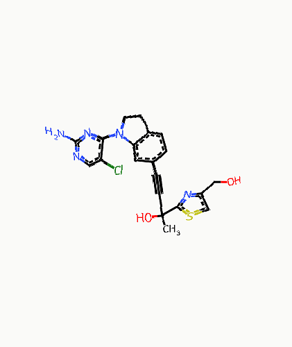 CC(O)(C#Cc1ccc2c(c1)N(c1nc(N)ncc1Cl)CC2)c1nc(CO)cs1